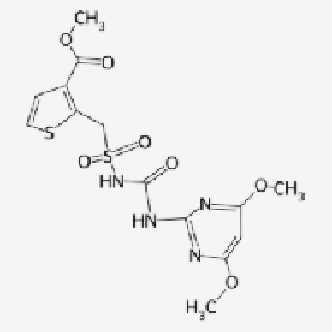 COC(=O)c1ccsc1CS(=O)(=O)NC(=O)Nc1nc(OC)cc(OC)n1